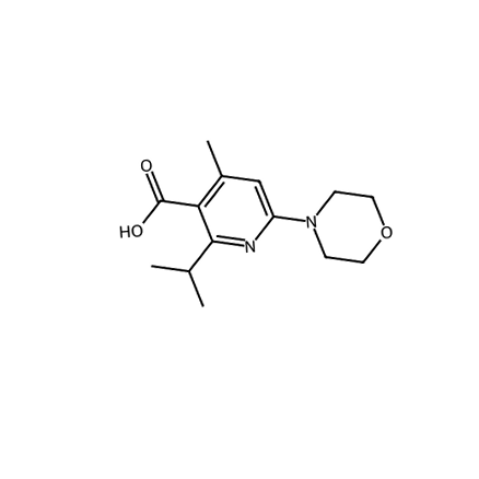 Cc1cc(N2CCOCC2)nc(C(C)C)c1C(=O)O